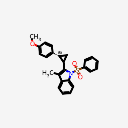 COc1ccc([C@@H]2CC2c2c(C)c3ccccc3n2S(=O)(=O)c2ccccc2)cc1